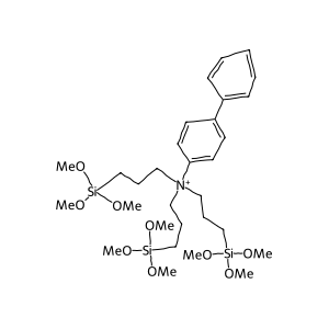 CO[Si](CCC[N+](CCC[Si](OC)(OC)OC)(CCC[Si](OC)(OC)OC)c1ccc(-c2ccccc2)cc1)(OC)OC